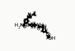 CC(C)(O)COc1ccc2c(C(=O)NC3CC4(C3)CC(Oc3cc(-c5cnn(C6CC6)c5)ccc3C(N)=O)C4)cnn2c1